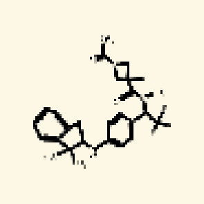 CC(=O)N1CC(F)(C(=O)N(C)C(c2ccc(NC3Cc4ccccc4C3(C)C)cc2)C(F)(F)F)C1